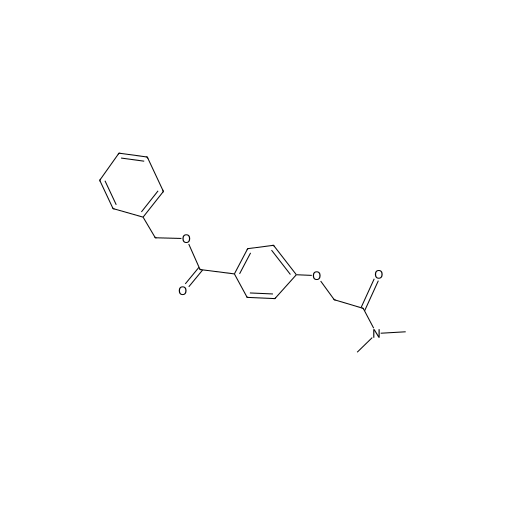 CN(C)C(=O)COc1ccc(C(=O)OCc2ccccc2)cc1